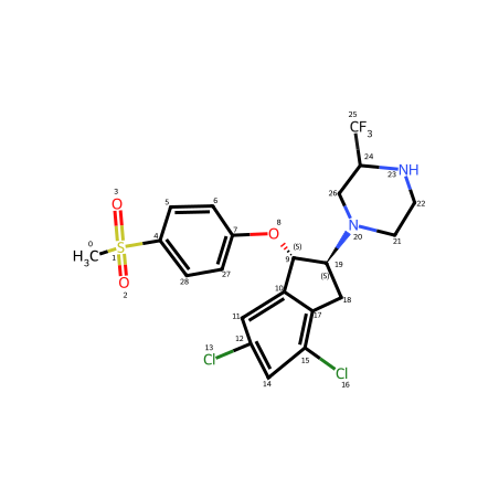 CS(=O)(=O)c1ccc(O[C@H]2c3cc(Cl)cc(Cl)c3C[C@@H]2N2CCNC(C(F)(F)F)C2)cc1